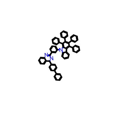 c1ccc(-c2ccc(-c3nc(-c4cccc(-n5c6ccccc6c6c(-c7ccccc7)c(-c7ccccc7)c(-c7ccccc7)c(-c7ccccc7)c65)c4)nc4ccccc34)cc2)cc1